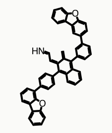 C=c1c(-c2cccc(-c3ccc4oc5ccccc5c4c3)c2)c2ccccc2c(-c2ccc(-c3cccc4c3oc3ccccc34)cc2)/c1=C/C=N